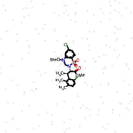 COC(=O)[C@H]([C@H](C)c1c(F)ccc(C)c1C)N1CN(OC)c2cc(Cl)ccc2S1(=O)=O